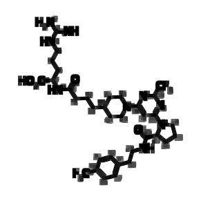 N=C(N)NCCCC(NC(=O)CCCC1CCN(c2cc(N3CCC[C@H]3C(=O)NCCc3ccc(C(F)(F)F)cc3)nc(C(F)(F)F)n2)CC1)C(=O)O